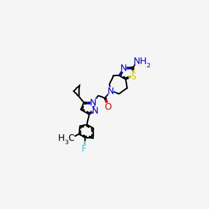 Cc1cc(-c2cc(C3CC3)n(CC(=O)N3CCc4nc(N)sc4CC3)n2)ccc1F